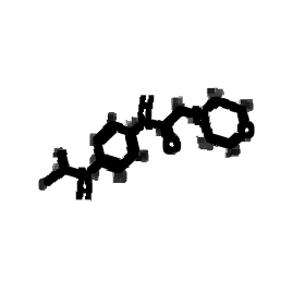 CC(C)Nc1ccc(NC(=O)CN2CCOCC2)cc1